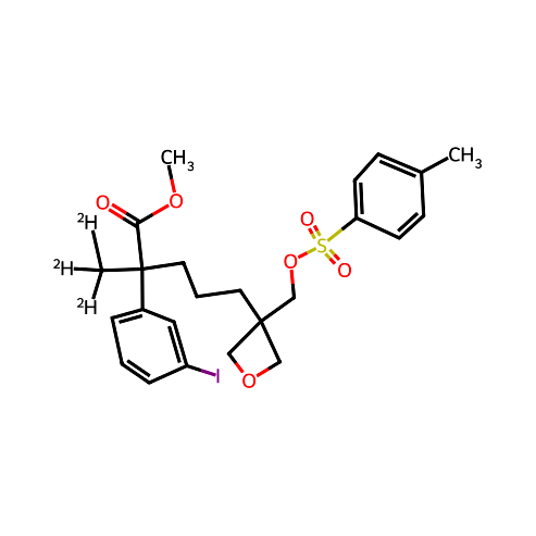 [2H]C([2H])([2H])C(CCCC1(COS(=O)(=O)c2ccc(C)cc2)COC1)(C(=O)OC)c1cccc(I)c1